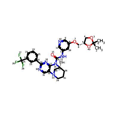 CC1(C)OC[C@@H](COc2cncc(NC(=O)N3c4nc(-c5cccc(C(F)(F)F)c5)ncc4N4CCC[C@H]3C4)c2)O1